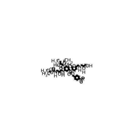 CCO[C@H](O[C@@H]1[C@@H](O)[C@H](O[C@@H]2CCC=C(CNCC(O)CO)O2)[C@@H](NC(=O)OCc2ccc([N+](=O)[O-])cc2)C[C@H]1NC(=O)[C@H](O)CNC(=O)OC(C)(C)C)[C@H](O)CC